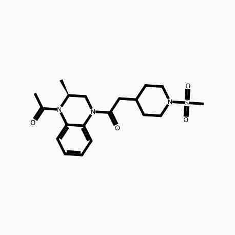 CC(=O)N1c2ccccc2N(C(=O)CC2CCN(S(C)(=O)=O)CC2)C[C@@H]1C